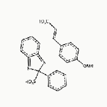 COc1ccc(C=CC(=O)O)cc1.O=S(=O)(O)C1(c2ccccc2)N=c2ccccc2=N1